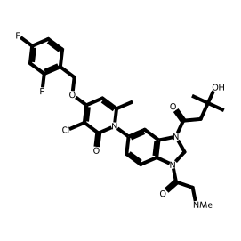 CNCC(=O)N1CN(C(=O)CC(C)(C)O)c2cc(-n3c(C)cc(OCc4ccc(F)cc4F)c(Cl)c3=O)ccc21